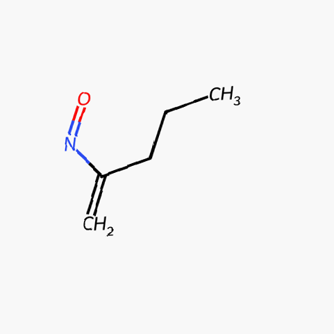 C=C(CCC)N=O